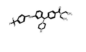 CCN(CC)C(=O)c1ccc([C@H](c2cccc(NCc3ccc(C(F)(F)F)cc3)c2)N2CCNCC2)cc1